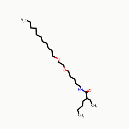 CCCCCCCCCCCOCCOCCCCCNC(=O)C(CC)CCCC